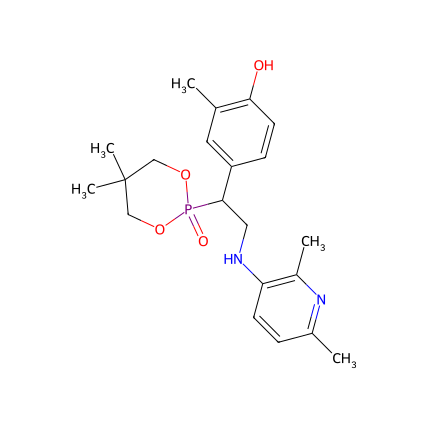 Cc1ccc(NCC(c2ccc(O)c(C)c2)P2(=O)OCC(C)(C)CO2)c(C)n1